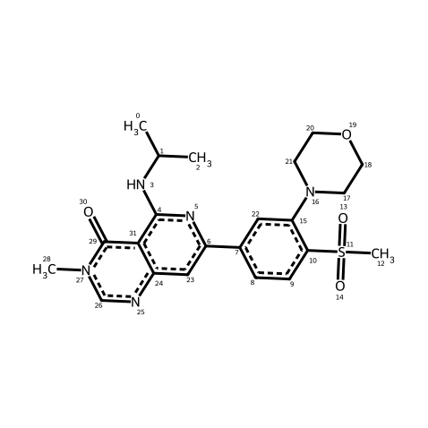 CC(C)Nc1nc(-c2ccc(S(C)(=O)=O)c(N3CCOCC3)c2)cc2ncn(C)c(=O)c12